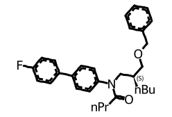 CCCC[C@H](COCc1ccccc1)CN(C(=O)CCC)c1ccc(-c2ccc(F)cc2)cc1